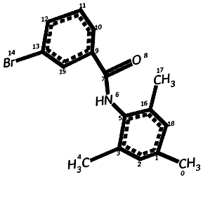 Cc1cc(C)c(NC(=O)c2cccc(Br)c2)c(C)c1